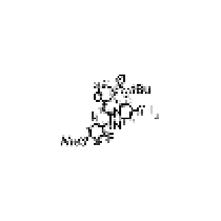 CSc1cc(F)c(-c2nc3cc(C)ccn3c2CC2CN(C(=O)OC(C)(C)C)CCO2)c(F)c1